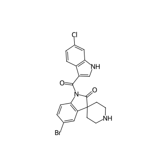 O=C(c1c[nH]c2cc(Cl)ccc12)N1C(=O)C2(CCNCC2)c2cc(Br)ccc21